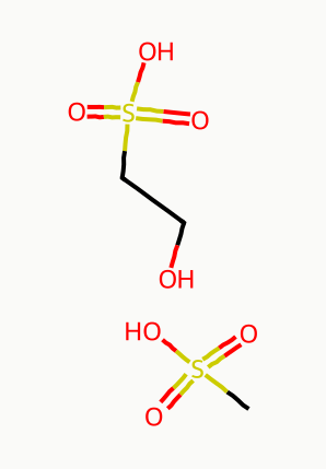 CS(=O)(=O)O.O=S(=O)(O)CCO